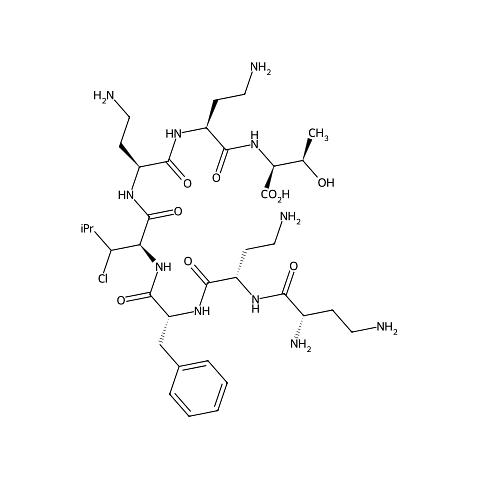 CC(C)C(Cl)[C@H](NC(=O)[C@@H](Cc1ccccc1)NC(=O)[C@H](CCN)NC(=O)[C@@H](N)CCN)C(=O)N[C@@H](CCN)C(=O)N[C@@H](CCN)C(=O)N[C@H](C(=O)O)[C@@H](C)O